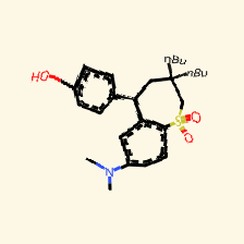 CCCCC1(CCCC)C[C@H](c2ccc(O)cc2)c2cc(N(C)C)ccc2S(=O)(=O)C1